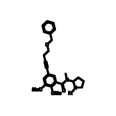 CCN1CCCC1N(C)C(=O)c1cc(C#CCCOCc2ccccc2)cc(OC)c1OC